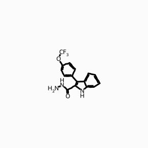 NNC(=O)c1[nH]c2ccccc2c1-c1ccc(OC(F)(F)F)cc1